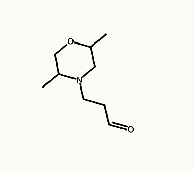 CC1CN(CCC=O)C(C)CO1